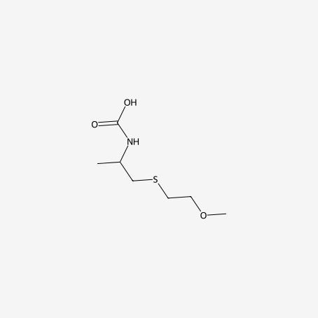 COCCSCC(C)NC(=O)O